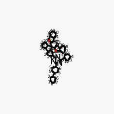 c1ccc(-c2ccc(-c3nc(-c4ccccc4)nc(-c4ccc5c(c4)C4(c6ccccc6-5)c5ccc6ccccc6c5Sc5c4ccc4ccccc54)n3)cc2)cc1